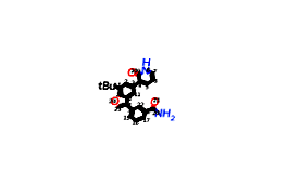 CC(C)(C)c1cc(-c2ccc[nH]c2=O)cc2c(-c3cccc(C(N)=O)c3)coc12